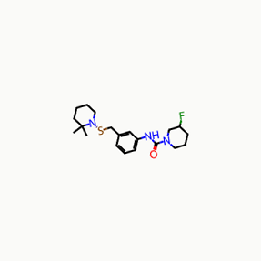 CC1(C)CCCCN1SCc1cccc(NC(=O)N2CCCC(F)C2)c1